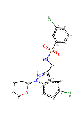 O=S(=O)(NCc1nn(C2CCCCO2)c2ccc(Cl)cc12)c1cccc(Br)c1